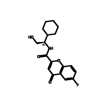 O=C(N[C@@H](CO)C1CCCCC1)c1cc(=O)c2cc(F)ccc2o1